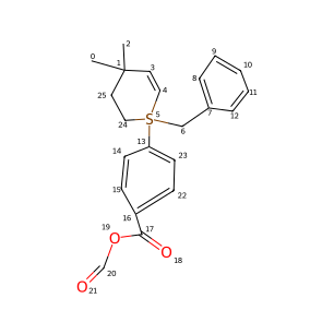 CC1(C)C=CS(Cc2ccccc2)(c2ccc(C(=O)OC=O)cc2)CC1